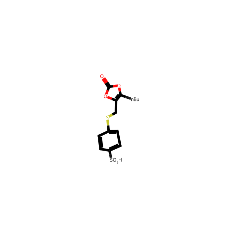 CCCCc1oc(=O)oc1CSc1ccc(S(=O)(=O)O)cc1